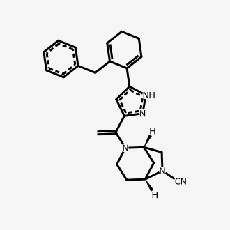 C=C(c1cc(C2=CCCC=C2Cc2ccccc2)[nH]n1)N1CC[C@@H]2C[C@H]1CN2C#N